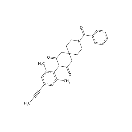 CC#Cc1cc(C)c(C2C(=O)CC3(CCN(C(=O)c4ccccc4)CC3)CC2=O)c(C)c1